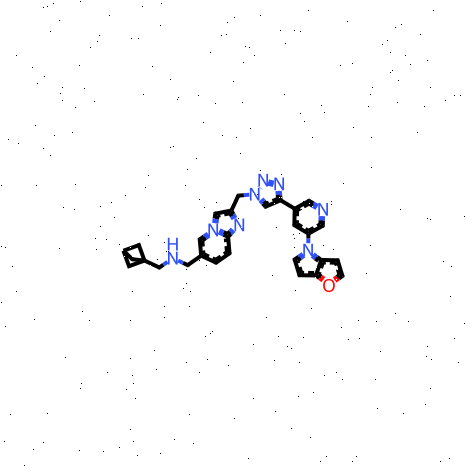 c1cc2c(ccn2-c2cncc(-c3cn(Cc4cn5cc(CNCC67CC(C6)C7)ccc5n4)nn3)c2)o1